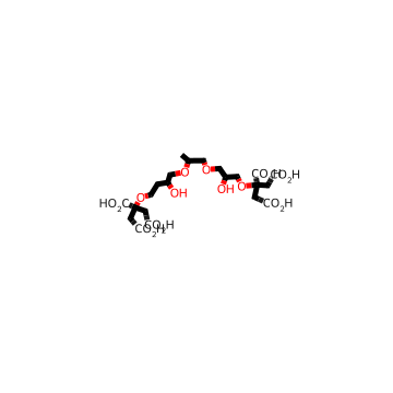 CC(COCC(O)COC(CC(=O)O)(CC(=O)O)C(=O)O)OCC(O)CCOC(CC(=O)O)(CC(=O)O)C(=O)O